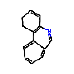 C1=Cc2ncc3ccccc3c2CC1